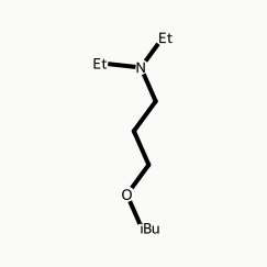 CCC(C)OCCCN(CC)CC